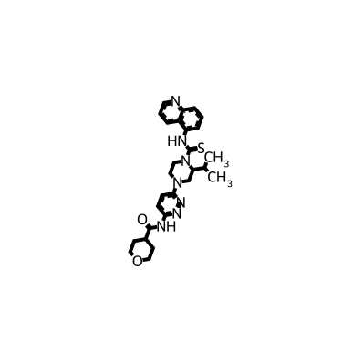 CC(C)C1CN(c2ccc(NC(=O)C3CCOCC3)nn2)CCN1C(=S)Nc1cccc2ncccc12